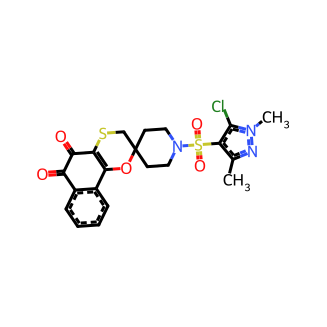 Cc1nn(C)c(Cl)c1S(=O)(=O)N1CCC2(CC1)CSC1=C(O2)c2ccccc2C(=O)C1=O